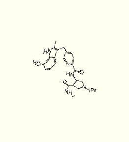 Cc1[nH]c2c(O)cccc2c1Cc1ccc(C(=O)NC2CN(C(C)C)CC2C(N)=O)cc1